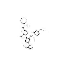 COC(=O)c1nc(C(=O)NC2CCCCCC2)ccc1-c1cc2c(cc1C(=O)Nc1ccc(CN)cc1C)-c1sccc1CCO2